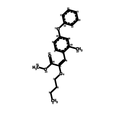 CCCCO/C(=C/c1ccc(Oc2ccccc2)cc1C)C(=O)OC